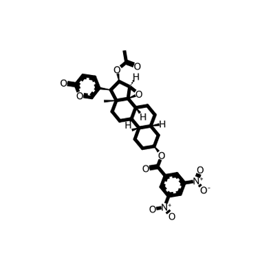 CC(=O)O[C@H]1[C@H]2O[C@]23[C@@H]2CC[C@@H]4C[C@@H](OC(=O)c5cc([N+](=O)[O-])cc([N+](=O)[O-])c5)CC[C@]4(C)[C@H]2CC[C@]3(C)[C@H]1c1ccc(=O)oc1